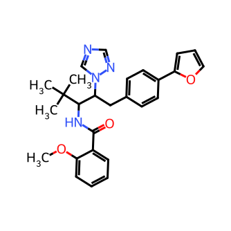 COc1ccccc1C(=O)NC(C(Cc1ccc(-c2ccco2)cc1)n1cncn1)C(C)(C)C